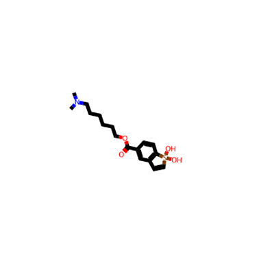 CN(C)CCCCCCOC(=O)c1ccc2c(c1)C=CS2(O)O